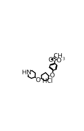 CS(=O)(=O)c1ccc(O[C@H]2CC[C@H](OC3CCNCC3)CC2)cc1.Cl